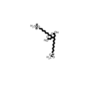 CS(=O)(=O)OCCCCCCCCC(CC(=O)O)=C(CCCCCCCCOS(C)(=O)=O)CC(=O)O